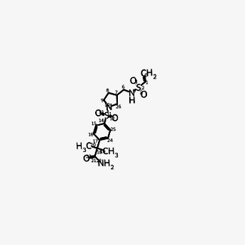 C=CS(=O)(=O)NCC1CCN(S(=O)(=O)c2ccc(C(C)(C)C(N)=O)cc2)C1